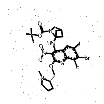 CN1CCC[C@H]1COc1nc2c(F)c(Br)c(I)cc2c(NC23CC(CN2C(=O)OC(C)(C)C)C3)c1[N+](=O)[O-]